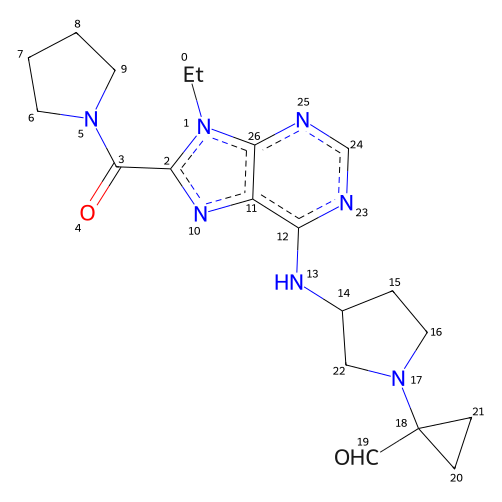 CCn1c(C(=O)N2CCCC2)nc2c(NC3CCN(C4(C=O)CC4)C3)ncnc21